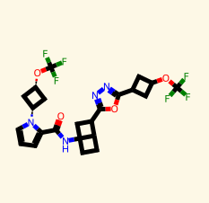 O=C(NC12CCC1C(c1nnc(C3CC(OC(F)(F)F)C3)o1)C2)c1cccn1[C@H]1C[C@@H](OC(F)(F)F)C1